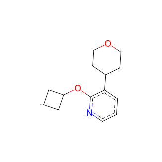 [CH]1CC(Oc2ncccc2C2CCOCC2)C1